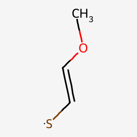 COC=C[S]